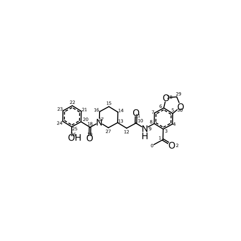 CC(=O)c1cc2c(cc1NC(=O)CC1CCCN(C(=O)c3ccccc3O)C1)OCO2